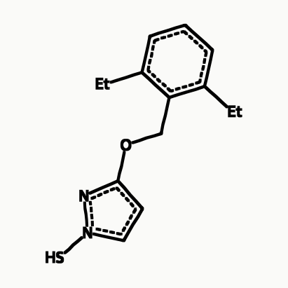 CCc1cccc(CC)c1COc1ccn(S)n1